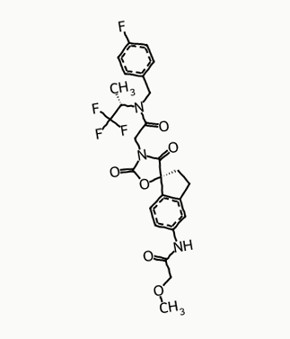 COCC(=O)Nc1ccc2c(c1)CC[C@@]21OC(=O)N(CC(=O)N(Cc2ccc(F)cc2)[C@@H](C)C(F)(F)F)C1=O